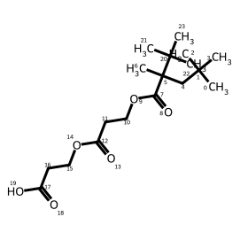 CC(C)(C)CC(C)(C(=O)OCCC(=O)OCCC(=O)O)C(C)(C)C